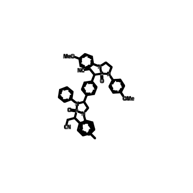 COc1ccc(N2CCN(c3ccc(OC)cc3)P2(=O)C(CC#N)c2ccc(C3CN(c4ccccc4)P(=O)(C(CC#N)c4ccc(C)cc4)N3c3ccccc3)cc2)cc1